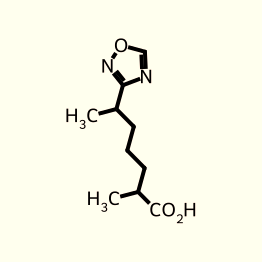 CC(CCCC(C)c1ncon1)C(=O)O